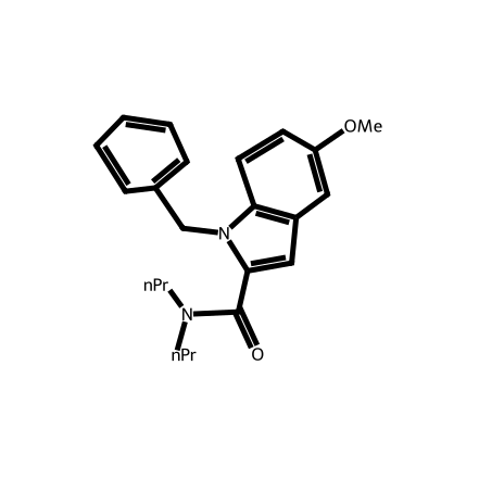 CCCN(CCC)C(=O)c1cc2cc(OC)ccc2n1Cc1ccccc1